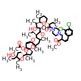 CCC(C(=O)N1CCN(CC(/C=C\c2ccc(Cl)c(Cl)c2)C(=O)OC)CC1)[C@H]1CC[C@H](C)[C@H](C(C)C(O)[C@H](C)C(=O)[C@H](CC)[C@H]2O[C@]3(C=C[C@@H](OC(C)=O)[C@]4(CC[C@@](C)([C@H]5CC[C@](O)(CC)C(C)O5)O4)O3)C(C)CC2C)O1